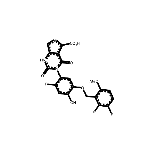 COc1ccc(F)c(F)c1COc1cc(-n2c(=O)[nH]c3csc(C(=O)O)c3c2=O)c(F)cc1O